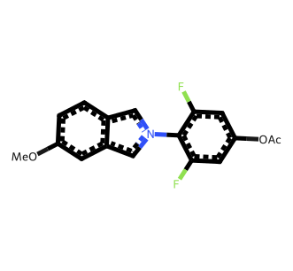 COc1ccc2cn(-c3c(F)cc(OC(C)=O)cc3F)cc2c1